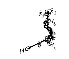 CN(CCCCCCSC(=O)CCCCCCCCO)Cc1c(F)cc(COc2ccc3c(c2)CCC2C3CC[C@@]3(C)C2CC[C@@H]3OCCCOC(C(F)(F)F)(C(F)(F)F)C(F)(F)F)cc1F